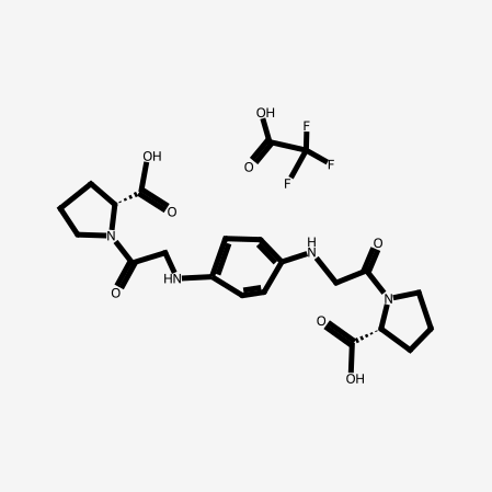 O=C(O)C(F)(F)F.O=C(O)[C@H]1CCCN1C(=O)CNc1ccc(NCC(=O)N2CCC[C@@H]2C(=O)O)cc1